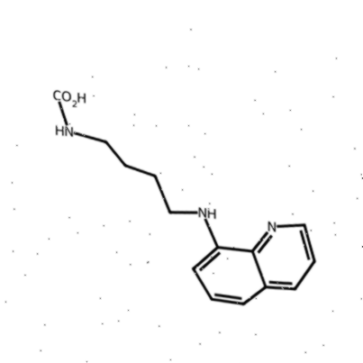 O=C(O)NCCCCNc1cccc2cccnc12